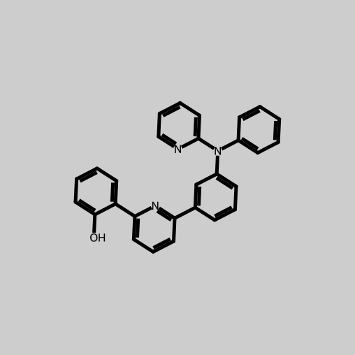 Oc1ccccc1-c1cccc(-c2cccc(N(c3ccccc3)c3ccccn3)c2)n1